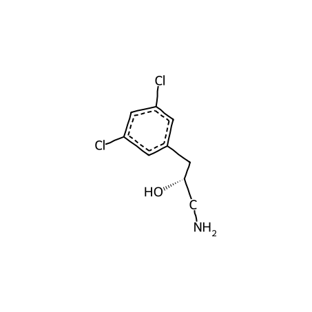 NC[C@H](O)Cc1cc(Cl)cc(Cl)c1